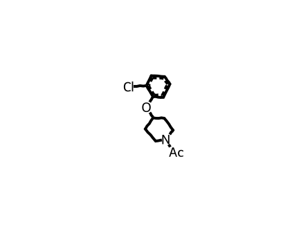 [CH2]C(=O)N1CCC(Oc2ccccc2Cl)CC1